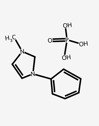 CN1C=CN(c2ccccc2)C1.O=P(O)(O)O